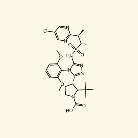 COc1cccc(OC)c1-n1c(NS(=O)(=O)[C@@H](C)[C@H](C)c2ncc(Cl)cn2)nnc1[C@H]1CCN(C(=O)O)C1C(C)(C)C